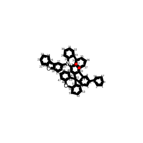 c1ccc(-c2ccc3c(c2)-c2ccc(N(c4ccc5oc6ccccc6c5c4)c4ccccc4-c4ccccc4)cc2C32c3ccccc3Oc3ccccc32)cc1